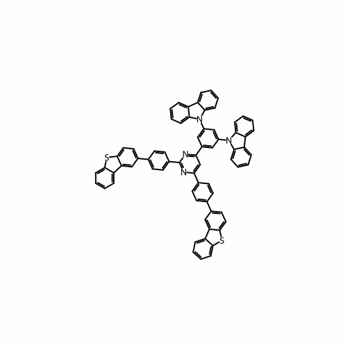 c1ccc2c(c1)sc1ccc(-c3ccc(-c4cc(-c5cc(-n6c7ccccc7c7ccccc76)cc(-n6c7ccccc7c7ccccc76)c5)nc(-c5ccc(-c6ccc7sc8ccccc8c7c6)cc5)n4)cc3)cc12